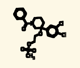 CS(=O)(=O)OCCOC1(c2ccc(Cl)c(Cl)c2)CCCN(C(=O)c2ccccc2)C1